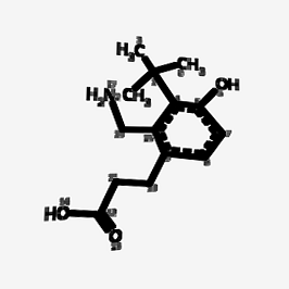 CC(C)(C)c1c(O)ccc(CCC(=O)O)c1CN